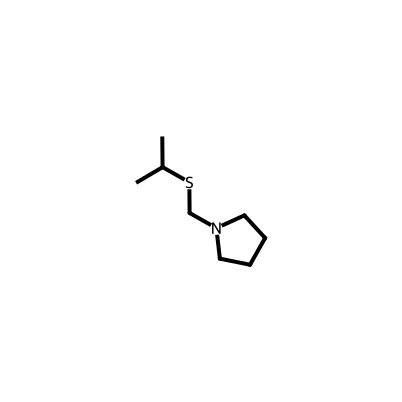 CC(C)SCN1CCCC1